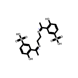 C/C(=N/CC/N=C(/C)c1cc(S(=O)(=O)O)ccc1O)c1cc(S(=O)(=O)O)ccc1O